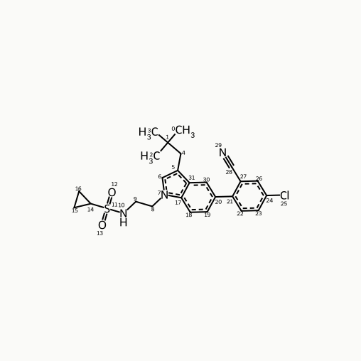 CC(C)(C)Cc1cn(CCNS(=O)(=O)C2CC2)c2ccc(-c3ccc(Cl)cc3C#N)cc12